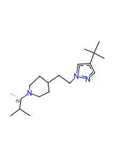 CC(C)[C@H](C)N1CCC(CCn2cc(C(C)(C)C)cn2)CC1